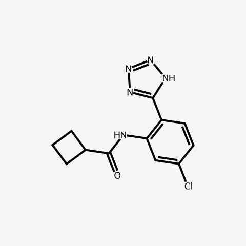 O=C(Nc1cc(Cl)ccc1-c1nnn[nH]1)C1CCC1